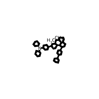 CC1(C)c2cc(-c3ccc(N(c4ccccc4)c4ccccc4)cc3)ccc2-c2c(-c3ccc(-c4ccccc4)cc3)ccc3cccc1c23